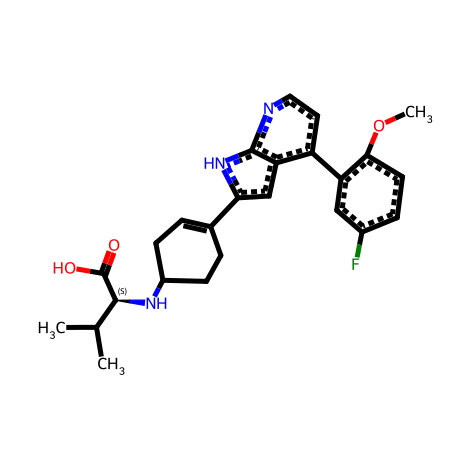 COc1ccc(F)cc1-c1ccnc2[nH]c(C3=CCC(N[C@H](C(=O)O)C(C)C)CC3)cc12